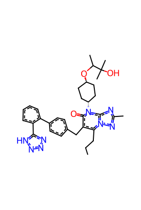 CCCc1c(Cc2ccc(-c3ccccc3-c3nnn[nH]3)cc2)c(=O)n([C@H]2CC[C@H](OC(C)C(C)(C)O)CC2)c2nc(C)nn12